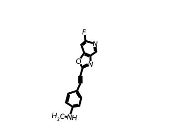 CNc1ccc(C#Cc2nc3cnc(F)cc3o2)cc1